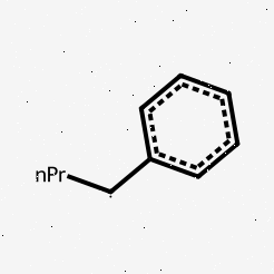 [CH2]CC[CH]c1ccccc1